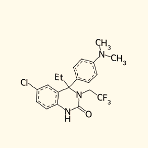 CCC1(c2ccc(N(C)C)cc2)c2cc(Cl)ccc2NC(=O)N1CC(F)(F)F